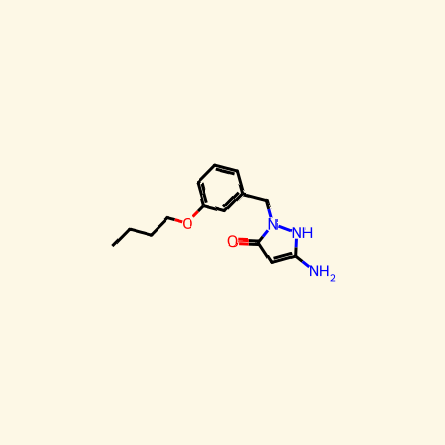 CCCCOc1cccc(Cn2[nH]c(N)cc2=O)c1